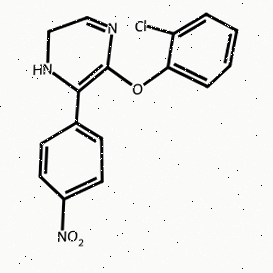 O=[N+]([O-])c1ccc(C2=C(Oc3ccccc3Cl)N=CCN2)cc1